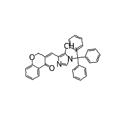 Cc1c(C=C2COc3ccccc3C2=O)ncn1C(c1ccccc1)(c1ccccc1)c1ccccc1